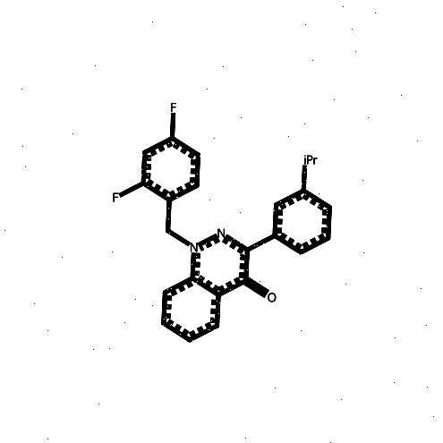 CC(C)c1cccc(-c2nn(Cc3ccc(F)cc3F)c3ccccc3c2=O)c1